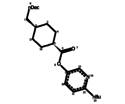 CCCCCCCCCCC[C@H]1CC[C@H](C(=O)Oc2ccc(CCCC)nc2)CC1